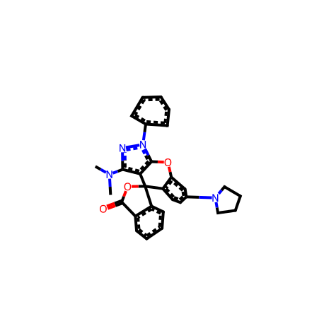 CN(C)c1nn(-c2ccccc2)c2c1C1(OC(=O)c3ccccc31)c1ccc(N3CCCC3)cc1O2